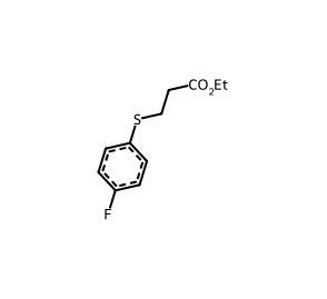 CCOC(=O)CCSc1ccc(F)cc1